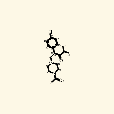 CC(=O)N1CCN(C[C@H](C(=O)C(C)C)c2ccc(Cl)cc2)CC1